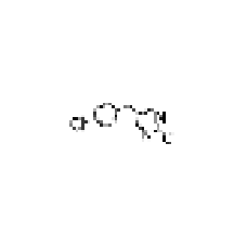 Clc1ccc(Cc2cnc(Cl)nc2)cc1